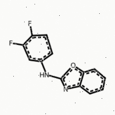 Fc1ccc(Nc2nc3ccccc3o2)cc1F